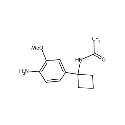 COc1cc(C2(NC(=O)C(F)(F)F)CCC2)ccc1N